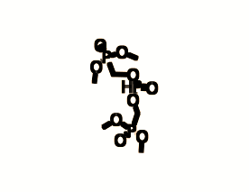 COP(=O)(CO[PH](=O)OCP(=O)(OC)OC)OC